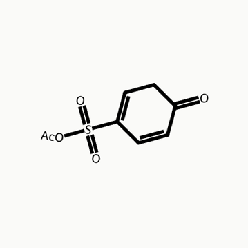 CC(=O)OS(=O)(=O)C1=CCC(=O)C=C1